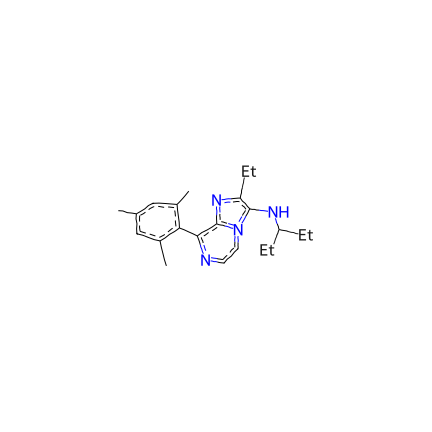 CCc1nc2c(-c3c(C)cc(C)cc3C)nccn2c1NC(CC)CC